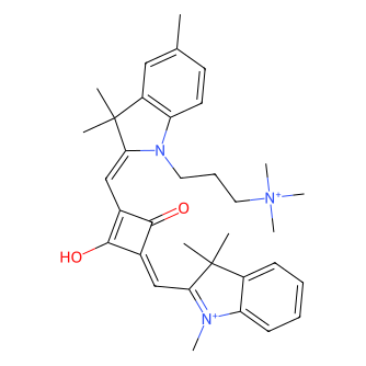 Cc1ccc2c(c1)C(C)(C)/C(=C/C1=C(O)C(=C/C3=[N+](C)c4ccccc4C3(C)C)/C1=O)N2CCC[N+](C)(C)C